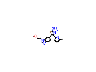 COCCn1cnc2ccc(-c3sc(N)nc3-c3cccc(C)n3)cc21